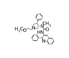 COCCN1C[C@@H](N(C)C(=O)Nc2cc3ccccc3nc2-c2ccccc2)[C@H](c2ccccc2)C1